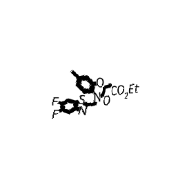 CCOC(=O)CC1Oc2cc(C)ccc2N(Cc2nc3cc(F)c(F)cc3s2)C1=O